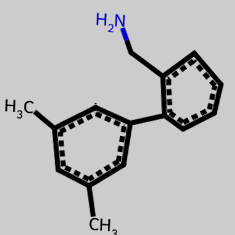 Cc1[c]c(-c2ccccc2CN)cc(C)c1